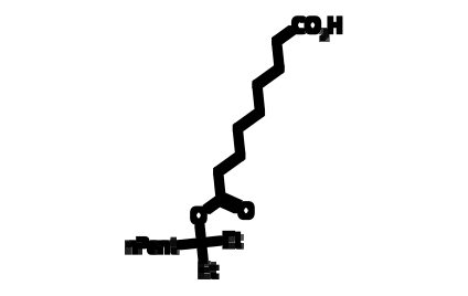 CCCCCC(CC)(CC)OC(=O)CCCCCCCC(=O)O